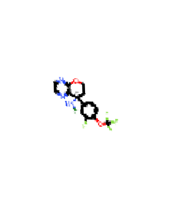 Fc1cc([C@@]2(NCl)CCOc3nccnc32)ccc1OC(F)(F)F